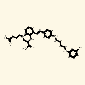 O=C(O)CCCN1CC(C(=O)O)Oc2c(/C=C/c3ccc(OCCCCOc4cccc(F)c4)cc3)cccc21